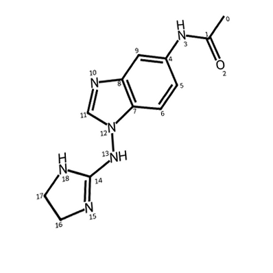 CC(=O)Nc1ccc2c(c1)ncn2NC1=NCCN1